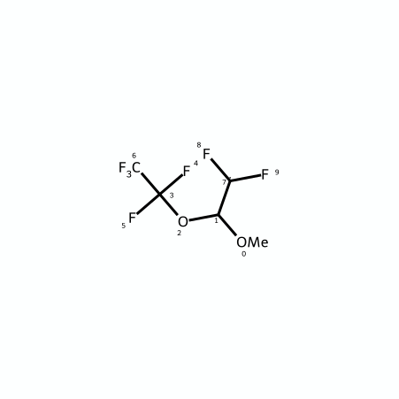 COC(OC(F)(F)C(F)(F)F)[C](F)F